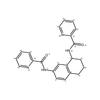 O=C(Nc1ccc2c(c1)C(NC(=O)c1ccccn1)CCC2)c1ccccn1